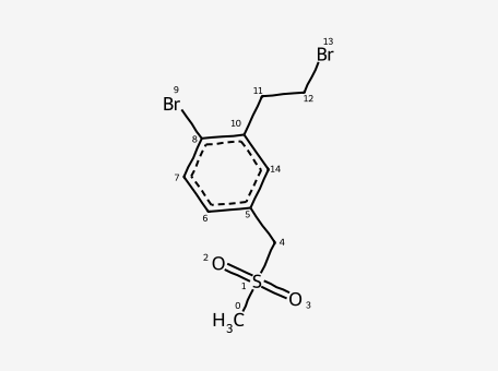 CS(=O)(=O)Cc1ccc(Br)c(CCBr)c1